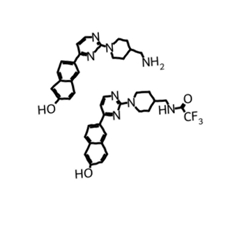 NCC1CCN(c2nccc(-c3ccc4cc(O)ccc4c3)n2)CC1.O=C(NCC1CCN(c2nccc(-c3ccc4cc(O)ccc4c3)n2)CC1)C(F)(F)F